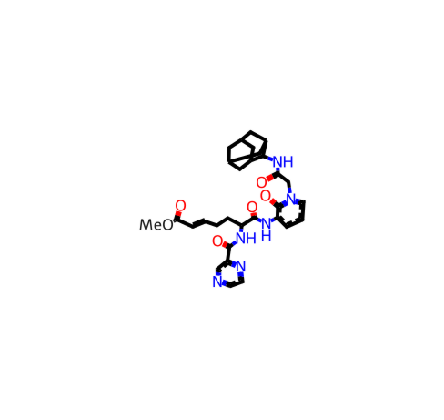 COC(=O)/C=C/CCC(NC(=O)c1cnccn1)C(=O)Nc1cccn(CC(=O)NC2C3CC4CC(C3)CC2C4)c1=O